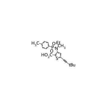 CCOP(=O)(c1ccc(C)cc1)N(C)c1cc(C#CC(C)(C)C)sc1C(=O)O